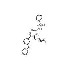 CO/N=C1\C[C@@H](C(=O)NC[C@@H](O)c2ccccc2)N(C(=O)c2cccc(Oc3ccccc3)c2)C1